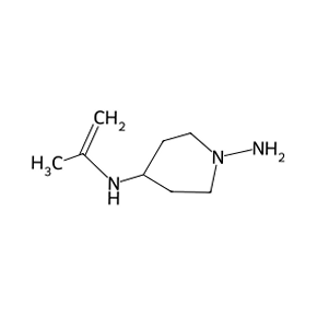 C=C(C)NC1CCN(N)CC1